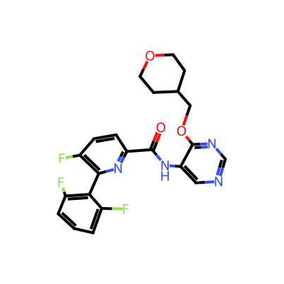 O=C(Nc1cncnc1OCC1CCOCC1)c1ccc(F)c(-c2c(F)cccc2F)n1